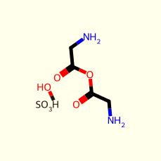 NCC(=O)OC(=O)CN.O=S(=O)(O)O